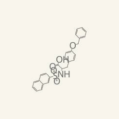 O=C(O)C(Cc1ccc(OCc2ccccc2)cc1)NS(=O)(=O)c1ccc2ccccc2c1